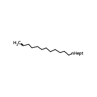 C=[C]CCCCCCCCCCCCCCCCC